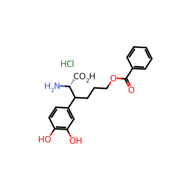 Cl.N[C@H](C(=O)O)C(CCCOC(=O)c1ccccc1)c1ccc(O)c(O)c1